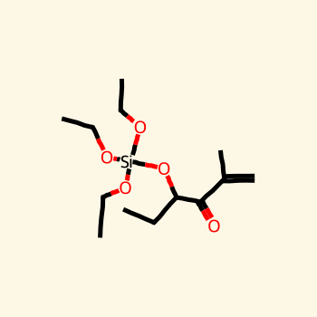 C=C(C)C(=O)C(CC)O[Si](OCC)(OCC)OCC